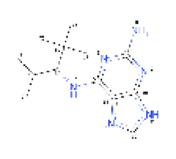 CC(C)[C@@H](Nc1nc(N)nc2[nH]cnc12)C(C)(C)C